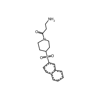 NCCC(=O)N1CCC(S(=O)(=O)c2ccc3ccccc3c2)CC1